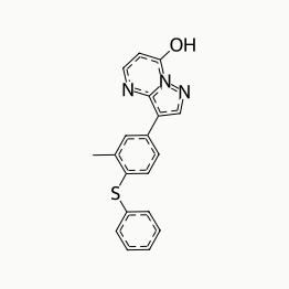 Cc1cc(-c2cnn3c(O)ccnc23)ccc1Sc1ccccc1